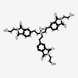 CO[Si](CCc1ccc2c(c1)C(=O)N(CCO)C2=O)(CCc1ccc2c(c1)C(=O)N(CCO)C2=O)CCc1ccc2c(c1)C(=O)N(CCO)C2=O